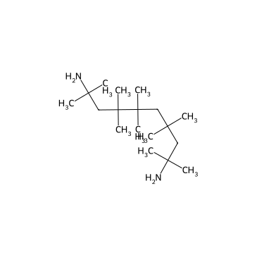 CC(C)(N)CC(C)(C)CC(C)(C)C(C)(C)CC(C)(C)N